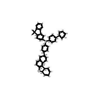 CC1(C)c2ccccc2-c2cc(N(c3ccc(-c4ccccc4)cc3)c3ccc(-c4ccc5c6c(ccc5c4)OC4C=CC=CC64)cc3)ccc21